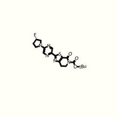 CC(C)(C)OC(=O)N1CCc2nc(-c3cnc(N4CC[C@H](F)C4)cn3)sc2C1=O